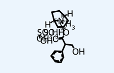 CN1[C@@H]2CC[C@H]1C[C@@H](OC(=O)C(CO)c1ccccc1)C2.O=S(=O)(O)O.O=S(=O)(O)O